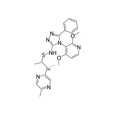 COc1ccnc(OC)c1-n1c(NSC(C)[C@H](C)c2cnc(C)cn2)nnc1-c1ccccc1